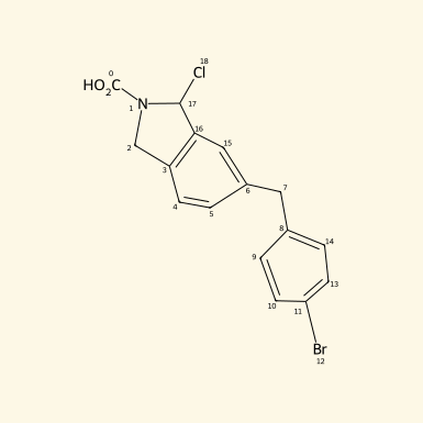 O=C(O)N1Cc2ccc(Cc3ccc(Br)cc3)cc2C1Cl